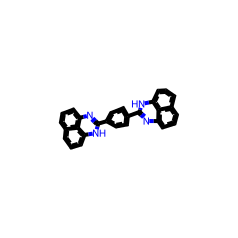 c1cc2c3c(cccc3c1)NC(c1ccc(C3=Nc4cccc5cccc(c45)N3)cc1)=N2